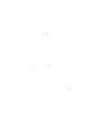 C1CC(CCC2CCNCC2)CCN1.Cl.Cl